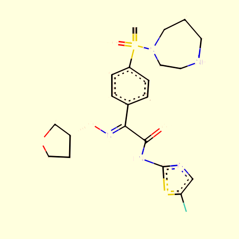 C=S(=O)(c1ccc(/C(=N\O[C@@H]2CCOC2)C(=O)Nc2ncc(F)s2)cc1)N1CCCNCC1